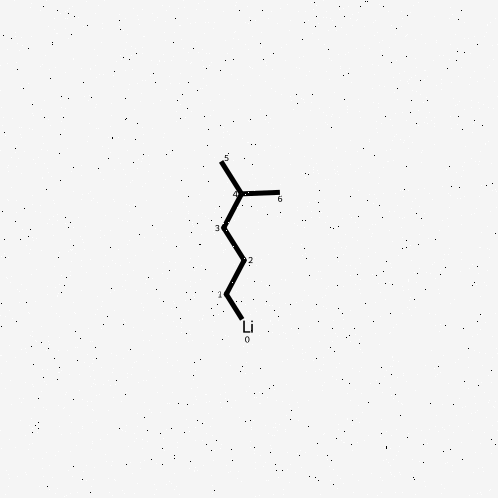 [Li][CH2]CCC(C)C